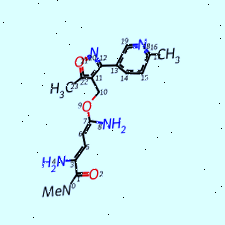 CNC(=O)/C(N)=C/C=C(\N)OCc1c(-c2ccc(C)nc2)noc1C